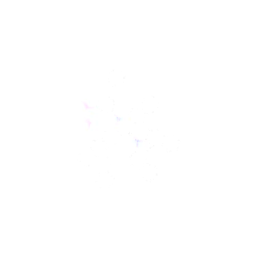 C=PCc1c2ccccc2c(Cc2ccccc2)c2cc3c(cc12)N(c1cc(P=C)cc(-c2ccccc2)c1)c1cc2ccccc2c2c1B3n1c3ccc4ccccc4c3c3c4ccccc4cc-2c31